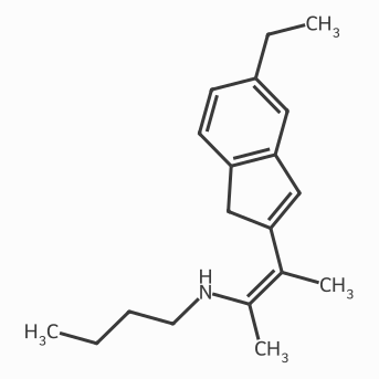 CCCCN/C(C)=C(/C)C1=Cc2cc(CC)ccc2C1